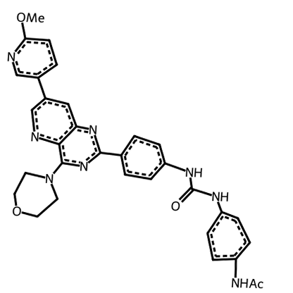 COc1ccc(-c2cnc3c(N4CCOCC4)nc(-c4ccc(NC(=O)Nc5ccc(NC(C)=O)cc5)cc4)nc3c2)cn1